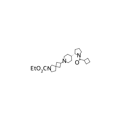 CCOC(=O)N1CCC2(CC(N3CCC([C@@H]4CCCN4C(=O)C4CCC4)CC3)C2)C1